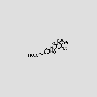 CCCCn1c(CCC)c(CC)cc(C(=O)Nc2ccc(/C=C/C(=O)O)cc2)c1=O